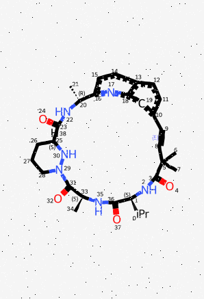 CC(C)[C@@H]1NC(=O)C(C)(C)/C=C/c2ccc3ccc(nc3c2)[C@@H](C)NC(=O)[C@@H]2CCCN(N2)C(=O)[C@H](C)NC1=O